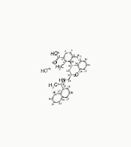 Cc1c(C(=O)O)ccc(F)c1[C@@H]1C[C@H](CNC(C)c2cccc3ccccc23)Oc2ccccc21.Cl